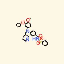 COc1ccc(N(Cc2cccnc2)c2ccc(C(=O)NS(=O)(=O)c3ccccc3)cc2)cc1OC1CCCC1